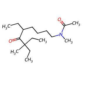 CCC(CCCCN(C)C(C)=O)C(=O)C(C)(CC)CC